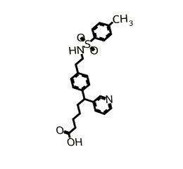 Cc1ccc(S(=O)(=O)NCCc2ccc(C(CCCCC(=O)O)c3cccnc3)cc2)cc1